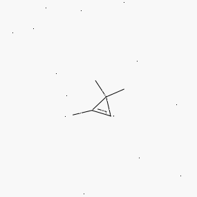 CC1=[C]C1(C)C